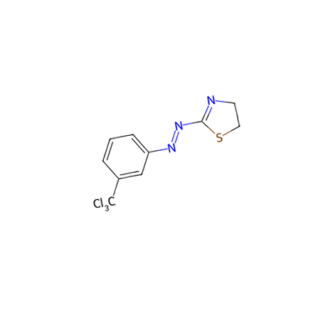 ClC(Cl)(Cl)c1cccc(/N=N/C2=NCCS2)c1